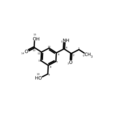 CCC(=O)C(=N)c1cc(CO)cc(C(=O)O)c1